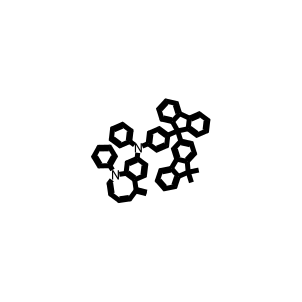 C=C1/C=C\C=C/N(c2ccccc2)c2cc(N(c3ccccc3)c3ccc(C4(c5ccc6c(c5)-c5ccccc5C6(C)C)c5ccccc5-c5ccccc54)cc3)ccc21